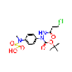 CN(c1ccc(N(NC(=O)CCCl)C(=O)OC(C)(C)C)cc1)S(=O)(=O)O